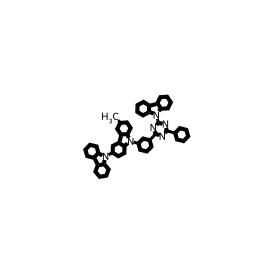 Cc1ccc2c(c1)c1cc(-n3c4ccccc4c4ccccc43)ccc1n2-c1cccc(-c2nc(-c3ccccc3)nc(-n3c4ccccc4c4ccccc43)n2)c1